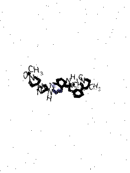 CC(=O)N1CCC(n2cc(NC3=C/C=C/C4=C(/C=N\3)CCc3nn(C)c(Cc5cccc(C6=CN(C)CCC(C)=C6)c5)c34)cn2)CC1